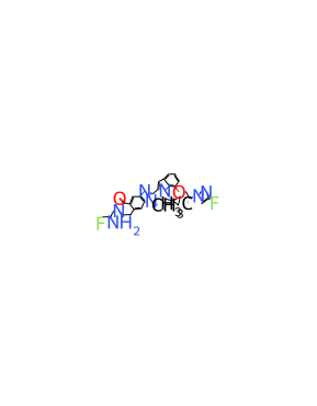 C[C@H](COc1cccc2cc(-c3nc4cc5c(cc4n3C)CCN(C[C@H](N)CF)C5=O)n(CC3CC3)c12)n1cnc(F)c1